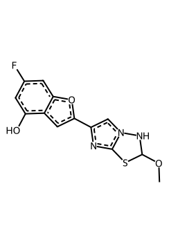 COC1Nn2cc(-c3cc4c(O)cc(F)cc4o3)nc2S1